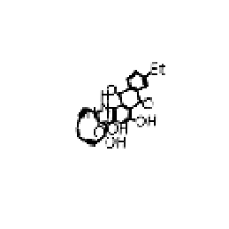 CCc1ccc2c(c1)C(=O)c1c(O)cc3c(c1C2=O)N[C@H]1C#C/C=C\C#C[C@H](O)[C@@]32O[C@@]12[C@@H](C)O